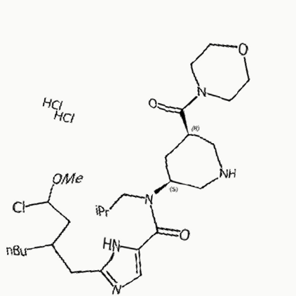 CCCCC(Cc1ncc(C(=O)N(CC(C)C)[C@@H]2CNC[C@H](C(=O)N3CCOCC3)C2)[nH]1)CC(Cl)OC.Cl.Cl